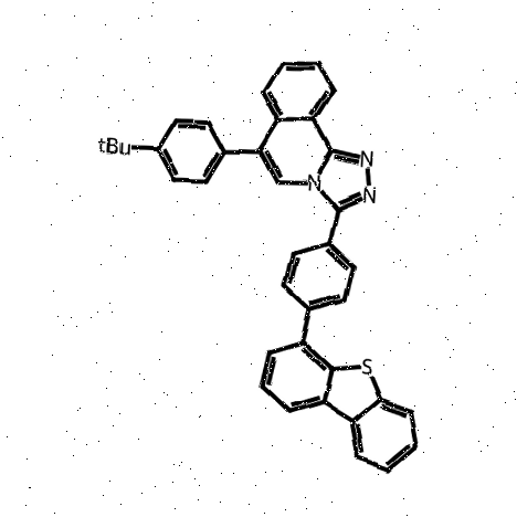 CC(C)(C)c1ccc(-c2cn3c(-c4ccc(-c5cccc6c5sc5ccccc56)cc4)nnc3c3ccccc23)cc1